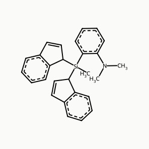 CN(C)c1ccccc1[Si](C)(C1C=Cc2ccccc21)C1C=Cc2ccccc21